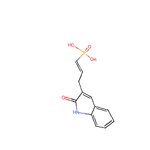 O=c1[nH]c2ccccc2cc1CC=CP(=O)(O)O